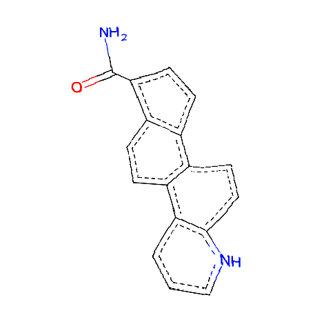 NC(=O)c1ccc2c1ccc1c3ccc[nH]c3ccc21